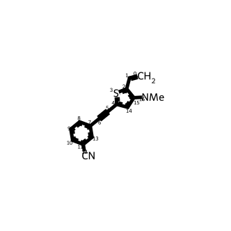 C=Cc1sc(C#Cc2cccc(C#N)c2)cc1NC